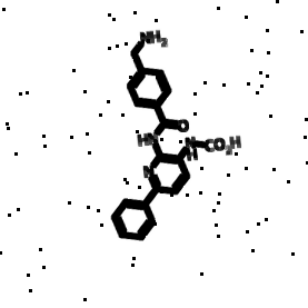 NCc1ccc(C(=O)Nc2nc(-c3ccccc3)ccc2NC(=O)O)cc1